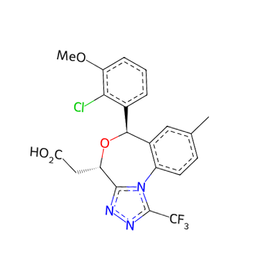 COc1cccc([C@@H]2O[C@@H](CC(=O)O)c3nnc(C(F)(F)F)n3-c3ccc(C)cc32)c1Cl